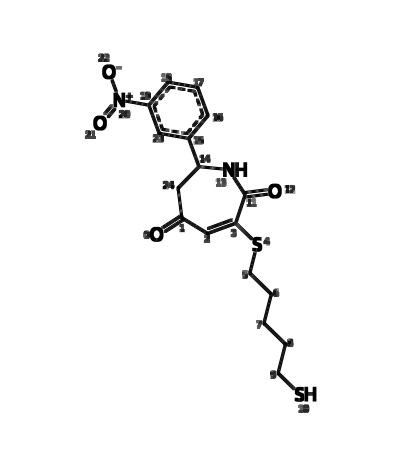 O=C1C=C(SCCCCCS)C(=O)NC(c2cccc([N+](=O)[O-])c2)C1